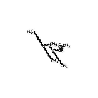 CCCCCCCCCCCN(CCCCCCCCCCC)CCCN(C)CCCN(CCCCCCCCCCC)CCCOP(=O)(OCC)OCC